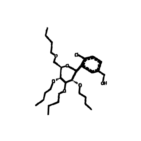 CCCCOC[C@H]1OC(c2cc(CO)ccc2Cl)[C@H](OCCCC)C(OCCCC)[C@@H]1OCCCC